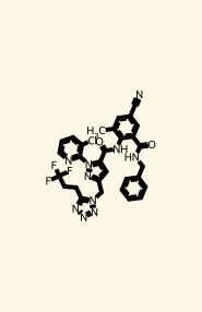 Cc1cc(C#N)cc(C(=O)NCc2ccccc2)c1NC(=O)c1cc(Cn2nnnc2CCC(F)(F)F)nn1-c1ncccc1Cl